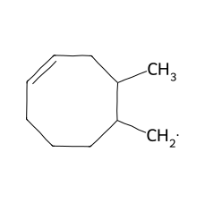 [CH2]C1CCCC=CCC1C